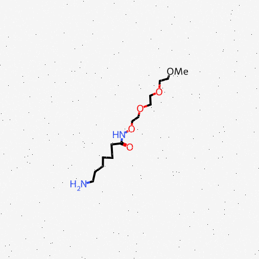 COCCOCCOCCONC(=O)CCCCCCN